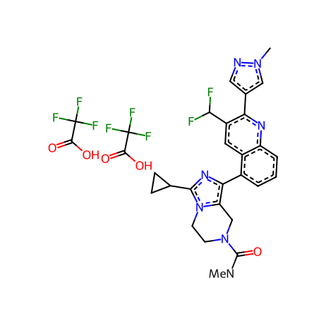 CNC(=O)N1CCn2c(C3CC3)nc(-c3cccc4nc(-c5cnn(C)c5)c(C(F)F)cc34)c2C1.O=C(O)C(F)(F)F.O=C(O)C(F)(F)F